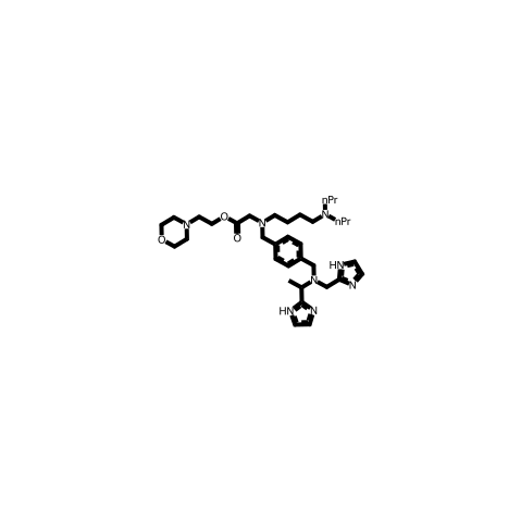 CCCN(CCC)CCCCN(CC(=O)OCCN1CCOCC1)Cc1ccc(CN(Cc2ncc[nH]2)C(C)c2ncc[nH]2)cc1